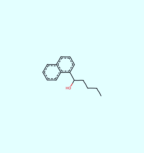 CCCCC(O)c1cccc2ccccc12